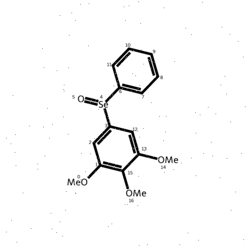 COc1cc([Se](=O)c2ccccc2)cc(OC)c1OC